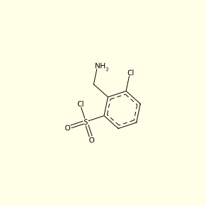 NCc1c(Cl)cccc1S(=O)(=O)Cl